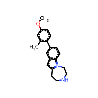 COc1ccc(-c2ccc3c(c2)cc2n3CCNCC2)c(C)c1